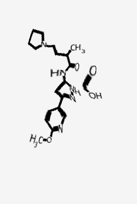 COc1ccc(-c2cc(NC(=O)C(C)CCN3CCCC3)[nH]n2)cn1.O=CO